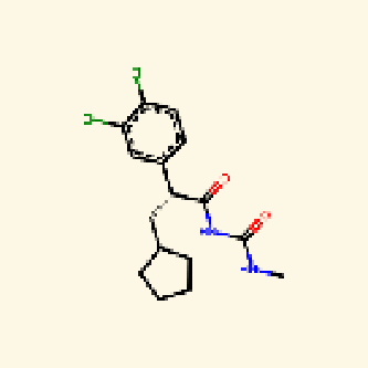 CNC(=O)NC(=O)[C@H](CC1CCCC1)c1ccc(Cl)c(Cl)c1